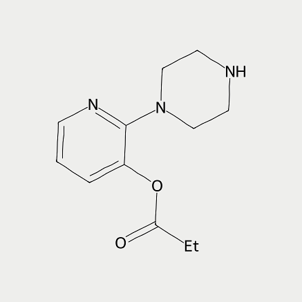 CCC(=O)Oc1cccnc1N1CCNCC1